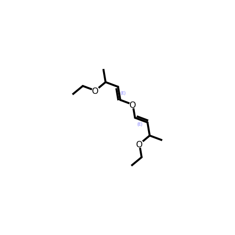 CCOC(C)/C=C/O/C=C/C(C)OCC